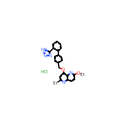 CCOc1ccc2nc(CC)cc(OCc3ccc(-c4ccccc4-c4nnn[nH]4)cc3)c2n1.Cl